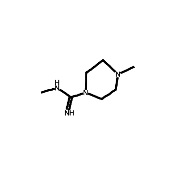 CNC(=N)N1CCN(C)CC1